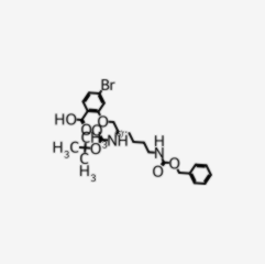 CC(C)(C)OC(=O)N[C@@H](CCCCNC(=O)OCc1ccccc1)COc1cc(Br)ccc1C(=O)O